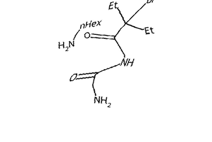 CCC(Br)(CC)C(=O)NC(N)=O.CCCCCCN